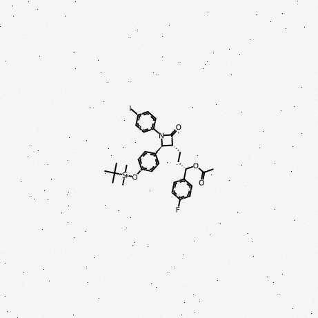 CC(=O)O[C@@H](CC[C@H]1C(=O)N(c2ccc(I)cc2)[C@@H]1c1ccc(O[Si](C)(C)C(C)(C)C)cc1)c1ccc(F)cc1